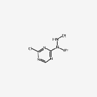 CCNN(c1ncnc(Cl)n1)C(C)C